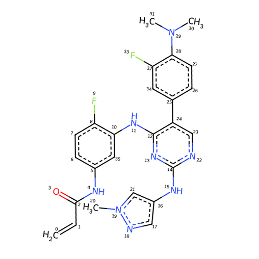 C=CC(=O)Nc1ccc(F)c(Nc2nc(Nc3cnn(C)c3)ncc2-c2ccc(N(C)C)c(F)c2)c1